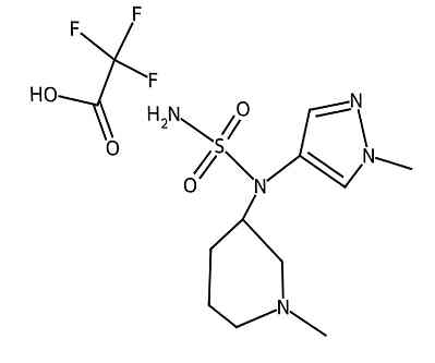 CN1CCCC(N(c2cnn(C)c2)S(N)(=O)=O)C1.O=C(O)C(F)(F)F